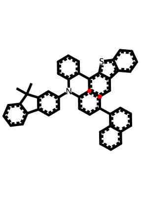 CC1(C)c2ccccc2-c2ccc(N(c3ccc(-c4cccc5ccccc45)cc3)c3ccccc3-c3cccc4c3sc3ccccc34)cc21